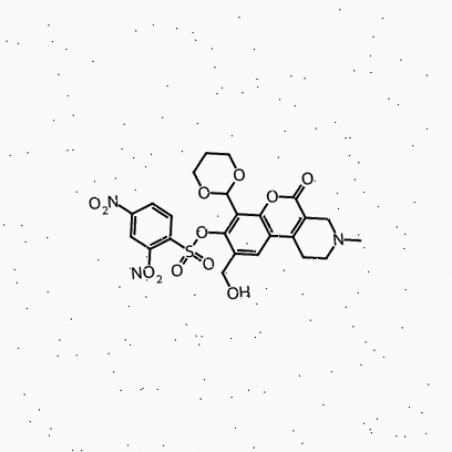 CN1CCc2c(c(=O)oc3c(C4OCCCO4)c(OS(=O)(=O)c4ccc([N+](=O)[O-])cc4[N+](=O)[O-])c(CO)cc23)C1